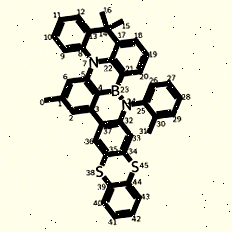 Cc1cc2c3c(c1)N1c4ccccc4C(C)(C)c4cccc(c41)B3N(c1ccccc1C)c1cc3c(cc1-2)Sc1ccccc1S3